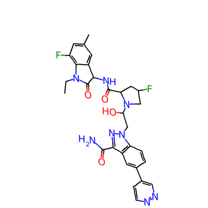 CCN1C(=O)C(NC(=O)C2CC(F)CN2C(O)Cn2nc(C(N)=O)c3cc(-c4ccnnc4)ccc32)c2cc(C)cc(F)c21